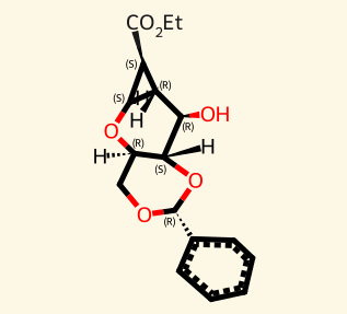 CCOC(=O)[C@@H]1[C@H]2O[C@@H]3CO[C@@H](c4ccccc4)O[C@H]3[C@H](O)[C@H]21